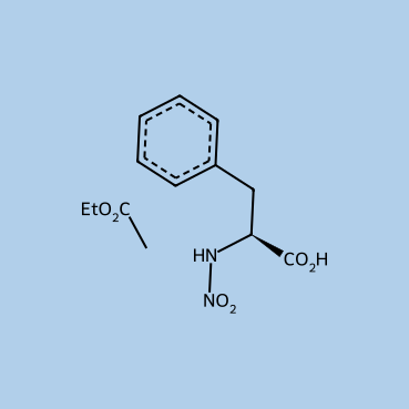 CCOC(C)=O.O=C(O)[C@H](Cc1ccccc1)N[N+](=O)[O-]